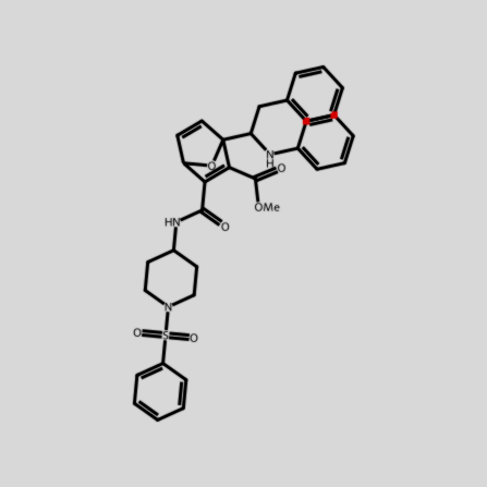 COC(=O)C1=C(C(=O)NC2CCN(S(=O)(=O)c3ccccc3)CC2)C2C=CC1(C(Cc1ccccc1)Nc1ccccc1)O2